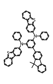 CC1(C)c2ccccc2-c2ccc(-c3cc(N(c4ccccc4)c4ccc5c(c4)sc4ccccc45)cc(N(c4ccccc4)c4ccc5c(c4)sc4ccccc45)c3)cc21